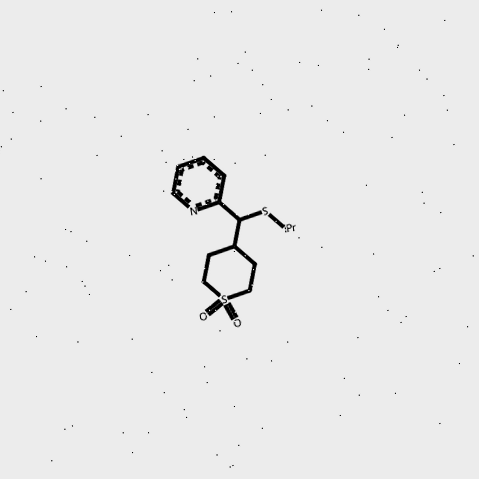 CC(C)SC(c1ccccn1)C1CCS(=O)(=O)CC1